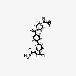 NC(=O)c1cc(Cl)c2ccc(-c3ccc(C(=O)N4CCN(C(=O)C5CC5)CC4)cc3)nn12